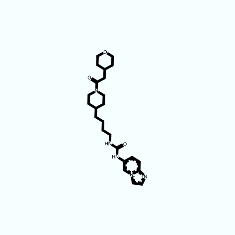 O=C(NCCCCC1CCN(C(=O)CC2CCOCC2)CC1)Nc1ccc2nccn2c1